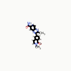 Cc1nc2ccc(C(N)=O)cc2nc1-c1ccc2c(=O)n(C)ccc2c1